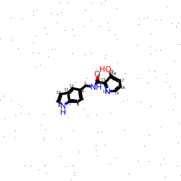 O=C(NCc1ccc2[nH]ccc2c1)c1ncccc1O